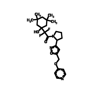 CC1(C)CC(C)(C)CC(O)(C(F)(F)C(=O)N2CCCC2c2cc(COc3ccncc3)on2)C1